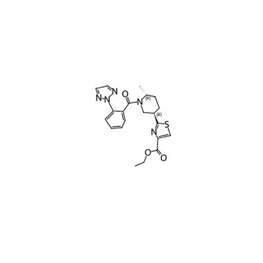 CCOC(=O)c1csc([C@@H]2CC[C@@H](C)N(C(=O)c3ccccc3-n3nccn3)C2)n1